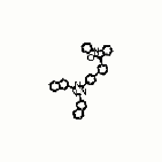 c1cc(-c2ccc(-c3nc(-c4ccc5ccccc5c4)nc(-c4ccc5ccccc5c4)n3)cc2)cc(-c2c3ccccc3n3c2oc2ccccc23)c1